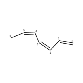 C=C/C=C\C=C/C